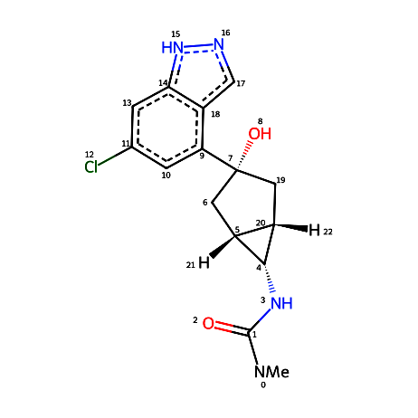 CNC(=O)N[C@@H]1[C@@H]2C[C@@](O)(c3cc(Cl)cc4[nH]ncc34)C[C@@H]21